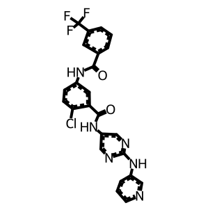 O=C(Nc1ccc(Cl)c(C(=O)Nc2cnc(Nc3cccnc3)nc2)c1)c1cccc(C(F)(F)F)c1